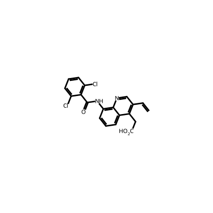 C=Cc1cnc2c(NC(=O)c3c(Cl)cccc3Cl)cccc2c1CC(=O)O